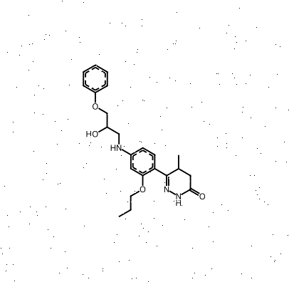 CCCOc1cc(NCC(O)COc2ccccc2)ccc1C1=NNC(=O)CC1C